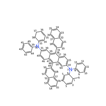 CC1C=CC=CC1N(c1ccccc1)c1ccc2c(-c3ccc4ccccc4c3)c3cc(N(C4=CC=CCC4)c4ccccc4)ccc3c(-c3ccc4ccccc4c3)c2c1